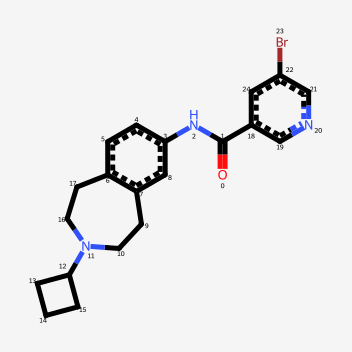 O=C(Nc1ccc2c(c1)CCN(C1CCC1)CC2)c1cncc(Br)c1